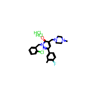 Cc1cc(-c2cc(CN3CCN(C)CC3)c(=O)n(Cc3ccccc3Cl)n2)ccc1F.Cl.Cl